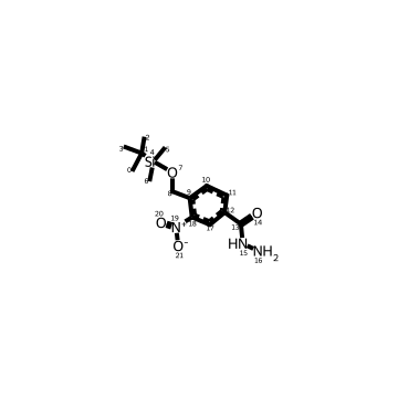 CC(C)(C)[Si](C)(C)OCc1ccc(C(=O)NN)cc1[N+](=O)[O-]